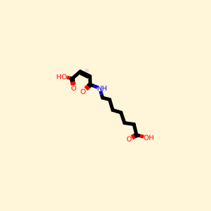 O=C(O)/C=C\C(=O)NCCCCCCC(=O)O